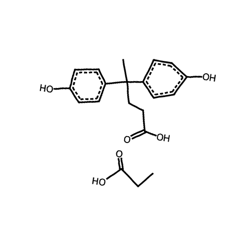 CC(CCC(=O)O)(c1ccc(O)cc1)c1ccc(O)cc1.CCC(=O)O